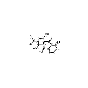 CCCc1c(C(N)=O)cc(O)c2c1C(=O)c1cccc(O)c1C2=O